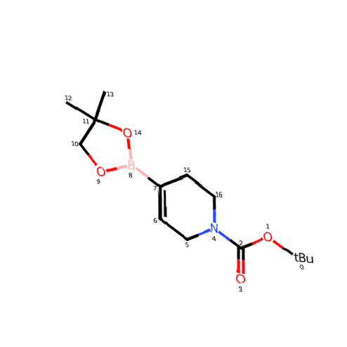 CC(C)(C)OC(=O)N1CC=C(B2OCC(C)(C)O2)CC1